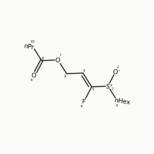 CCCCCC[S+]([O-])/C(F)=C/COC(=O)CCC